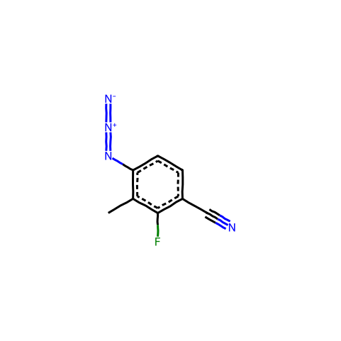 Cc1c(N=[N+]=[N-])ccc(C#N)c1F